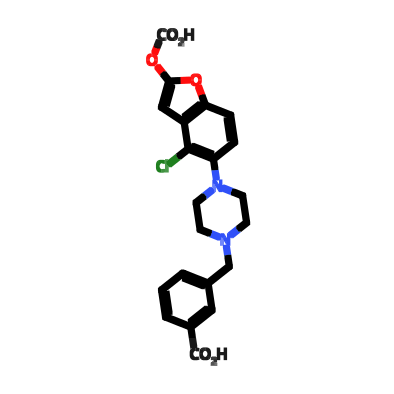 O=C(O)Oc1cc2c(Cl)c(N3CCN(Cc4cccc(C(=O)O)c4)CC3)ccc2o1